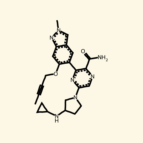 CC#CCOc1cc2nn(C)cc2cc1-c1nc(N2CCC(NC3CC3)C2)cnc1C(N)=O